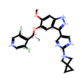 COc1cc2[nH]nc(-c3cnc(N4CC5(CC5)C4)nc3)c2cc1O[C@H](C)c1c(Cl)cncc1Cl